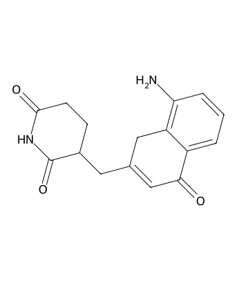 Nc1cccc2c1CC(CC1CCC(=O)NC1=O)=CC2=O